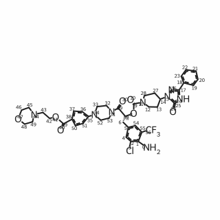 Nc1c(Cl)cc(C[C@@H](OC(=O)N2CCC(n3nc(-c4ccccc4)[nH]c3=O)CC2)C(=O)N2CCN(c3ccc(C(=O)OCCN4CCOCC4)cc3)CC2)cc1C(F)(F)F